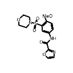 COc1ccc(NC(=O)c2ncco2)cc1S(=O)(=O)N1CCOCC1